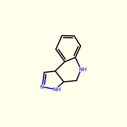 C1=NNC2CNc3ccccc3C12